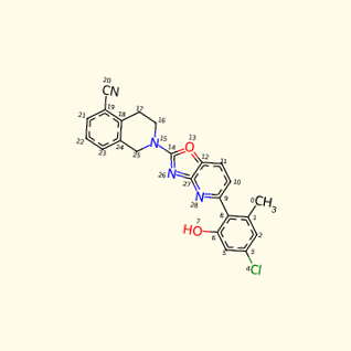 Cc1cc(Cl)cc(O)c1-c1ccc2oc(N3CCc4c(C#N)cccc4C3)nc2n1